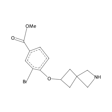 COC(=O)c1ccc(OC2CC3(CNC3)C2)c(Br)c1